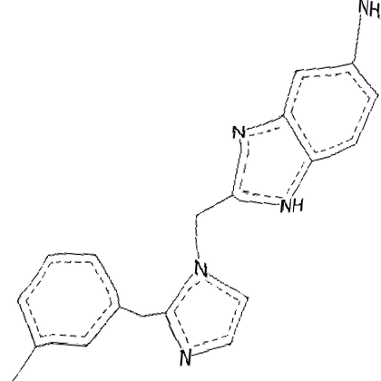 Nc1ccc2[nH]c(Cn3ccnc3-c3cccc(F)c3)nc2c1